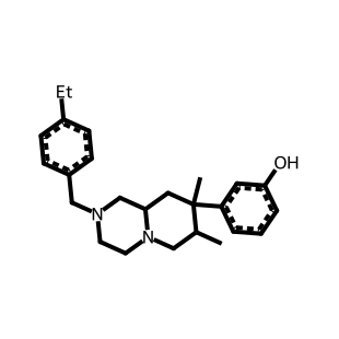 CCc1ccc(CN2CCN3CC(C)C(C)(c4cccc(O)c4)CC3C2)cc1